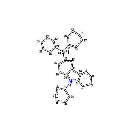 c1ccc(-n2c3ccccc3c3cc([SiH](c4ccccc4)c4ccccc4)ccc32)cc1